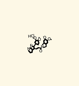 COc1ccc(-c2c(C=CC(=O)N3CCc4cc(OC)c(OC)cc4C3)c3cccnc3n2C)cc1OC.Cl